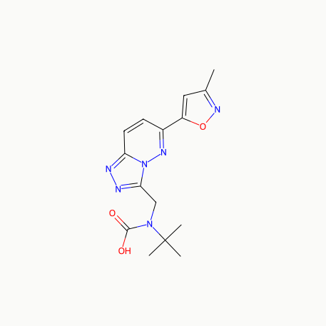 Cc1cc(-c2ccc3nnc(CN(C(=O)O)C(C)(C)C)n3n2)on1